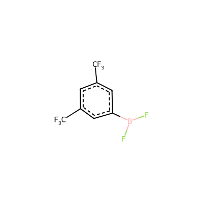 FB(F)c1cc(C(F)(F)F)cc(C(F)(F)F)c1